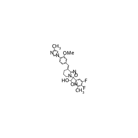 COc1cc(/C=C2\CCCN3C2=NOC3(c2cc(C)c(F)c(F)c2)C(O)O)ccc1-n1cnc(C)c1